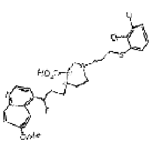 COc1ccc2nccc(C(F)CC[C@@H]3CCN(CCCSc4cccc(Cl)c4Cl)C[C@@H]3C(=O)O)c2c1